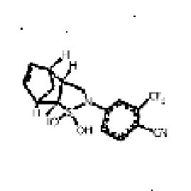 C[C@@]12[C@@H]3C=C[C@@H](C3)[C@@H]1CN(c1ccc(C#N)c(C(F)(F)F)c1)S2(O)O